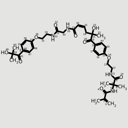 C=C(C)C(=O)NC(C)(C)C(=O)NCCOc1ccc(C(=O)C(C)(O)C/C=C\C(=O)NCC(=O)NCCOc2ccc(C(=O)C(C)(C)O)cc2)cc1